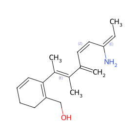 C=C(/C=C\C(N)=C/C)/C(C)=C(\C)C1=C(CO)CCC=C1